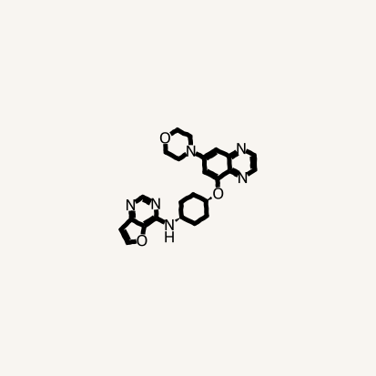 c1cnc2c(O[C@H]3CC[C@@H](Nc4ncnc5ccoc45)CC3)cc(N3CCOCC3)cc2n1